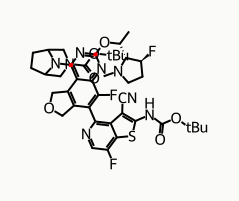 CC(Oc1nc(N2C3CCC2CN(C(=O)OC(C)(C)C)C3)c2c3c(c(-c4ncc(F)c5sc(NC(=O)OC(C)(C)C)c(C#N)c45)c(F)c2n1)COC3)[C@@H]1[C@@H](F)CCN1C